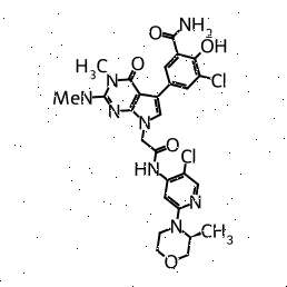 CNc1nc2c(c(-c3cc(Cl)c(O)c(C(N)=O)c3)cn2CC(=O)Nc2cc(N3CCOC[C@@H]3C)ncc2Cl)c(=O)n1C